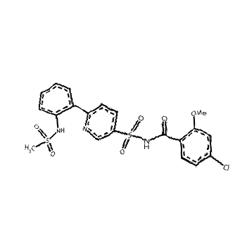 COc1cc(Cl)ccc1C(=O)NS(=O)(=O)c1ccc(-c2ccccc2NS(C)(=O)=O)nc1